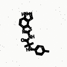 Cc1ccc(NC(C)(C)C(=O)Nc2nc3ccc4[nH]ncc4c3s2)cc1